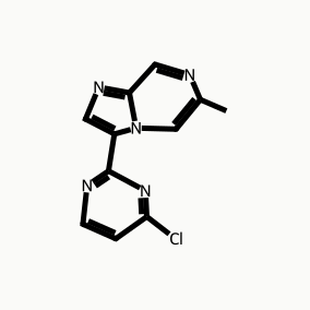 Cc1cn2c(-c3nccc(Cl)n3)cnc2cn1